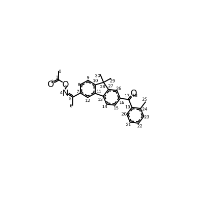 CC(=O)O/N=C(/C)c1ccc2c(c1)-c1ccc(C(=O)c3ccccc3C)cc1C2(C)C